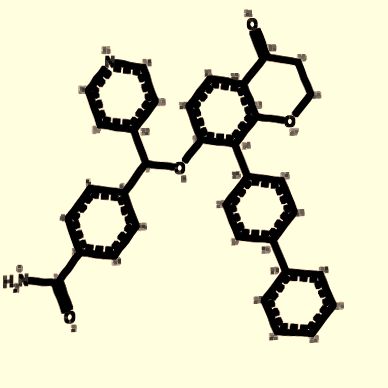 NC(=O)c1ccc(C(Oc2ccc3c(c2-c2ccc(-c4ccccc4)cc2)OCCC3=O)c2ccncc2)cc1